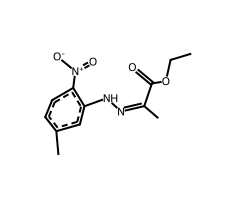 CCOC(=O)C(C)=NNc1cc(C)ccc1[N+](=O)[O-]